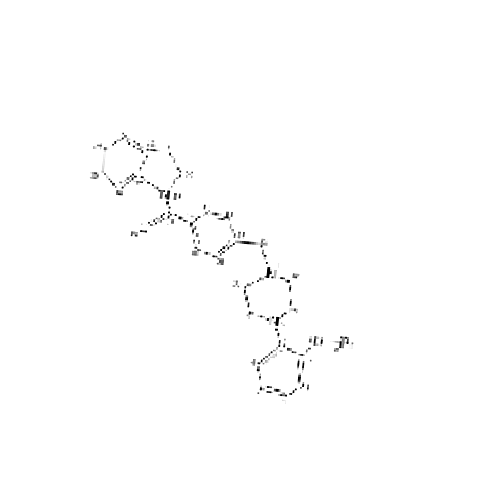 CC(C)Oc1ccccc1N1CCN(Cc2ccc(C(=O)N3CCc4ccccc43)cc2)CC1